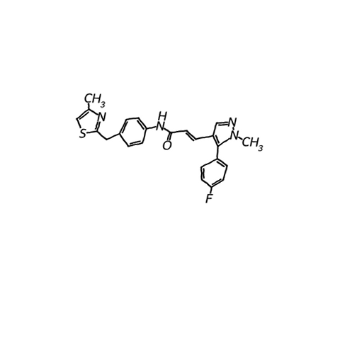 Cc1csc(Cc2ccc(NC(=O)C=Cc3cnn(C)c3-c3ccc(F)cc3)cc2)n1